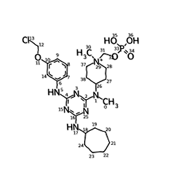 CN(c1nc(Nc2cccc(OCCl)c2)nc(NC2CCCCCC2)n1)C1CC[N+](C)(COP(=O)(O)O)CC1